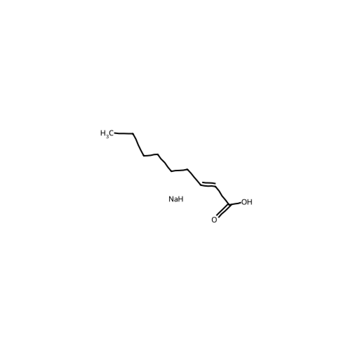 CCCCCCC=CC(=O)O.[NaH]